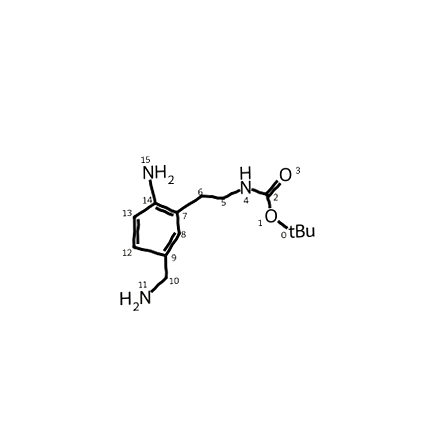 CC(C)(C)OC(=O)NCCc1cc(CN)ccc1N